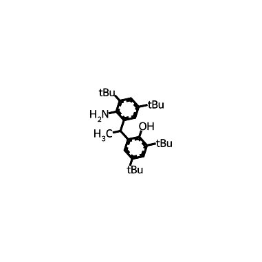 CC(c1cc(C(C)(C)C)cc(C(C)(C)C)c1N)c1cc(C(C)(C)C)cc(C(C)(C)C)c1O